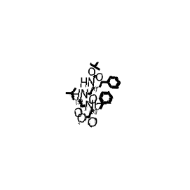 COC(=O)[C@@H](Cc1ccccc1)NC(=O)[C@H](CC(C)C)NC(=O)[C@@H](CCc1ccccc1)NC(=O)OC(C)(C)C